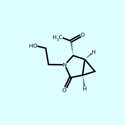 CC(=O)[C@@H]1[C@H]2C[C@H]2C(=O)N1CCO